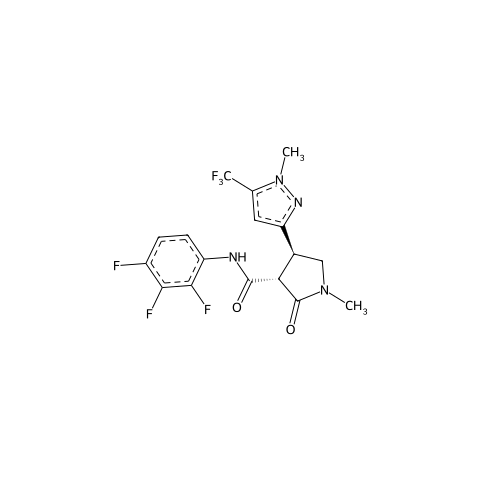 CN1C[C@H](c2cc(C(F)(F)F)n(C)n2)[C@@H](C(=O)Nc2ccc(F)c(F)c2F)C1=O